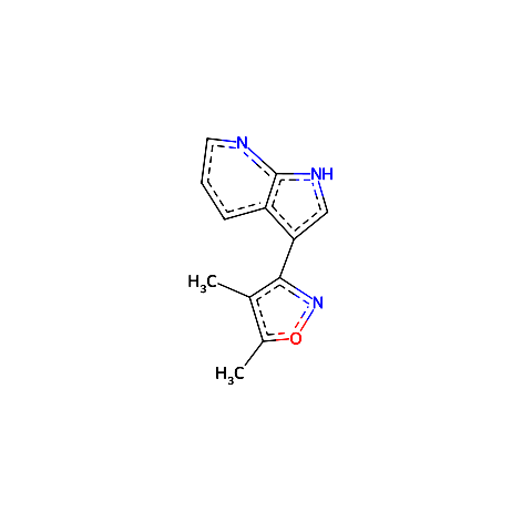 Cc1onc(-c2c[nH]c3ncccc23)c1C